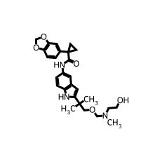 CN(CCO)COCC(C)(C)c1cc2cc(NC(=O)C3(c4ccc5c(c4)OCO5)CC3)ccc2[nH]1